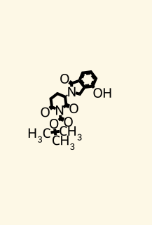 CC(C)(C)OC(=O)N1C(=O)CC[C@H](N2Cc3c(O)cccc3C2=O)C1=O